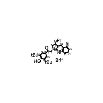 Br.CCCC1CN(CC(=O)c2cc(C(C)(C)C)c(O)c(C(C)(C)C)c2)C(=N)C1Cc1ccccc1F